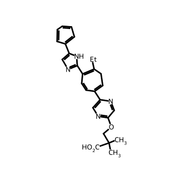 CCC1=C(c2ncc(-c3ccccc3)[nH]2)C=CC(c2cnc(OCC(C)(C)C(=O)O)cn2)=CC1